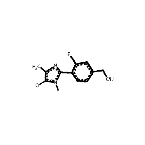 Cn1c(-c2ccc(CO)cc2F)nc(C(F)(F)F)c1Cl